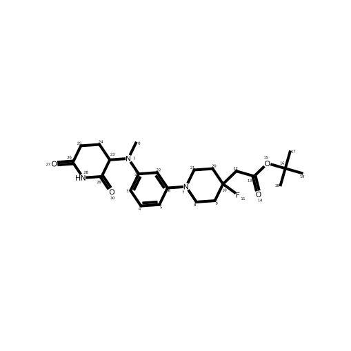 CN(c1cccc(N2CCC(F)(CC(=O)OC(C)(C)C)CC2)c1)C1CCC(=O)NC1=O